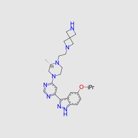 CC(C)Oc1ccc2[nH]nc(-c3cc(N4CCN(CCN5CC6(CNC6)C5)[C@@H](C)C4)ncn3)c2c1